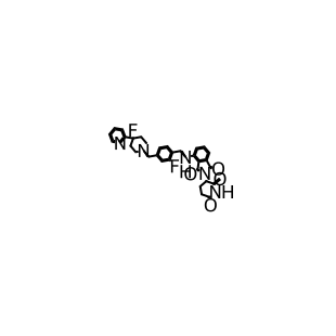 O=C1CCC(N2C(=O)c3cccc(NCc4ccc(CN5CCC(F)(c6ccccn6)CC5)cc4F)c3C2=O)C(=O)N1